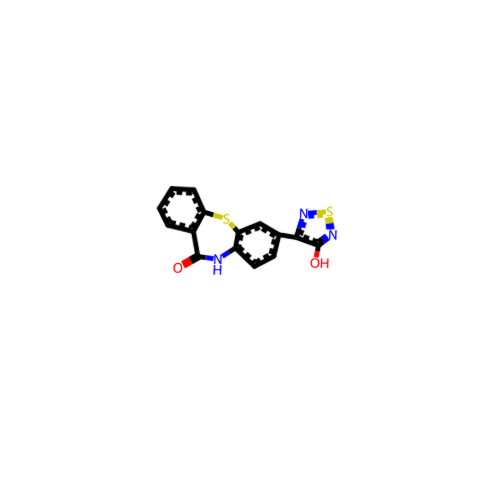 O=C1Nc2ccc(-c3nsnc3O)cc2Sc2ccccc21